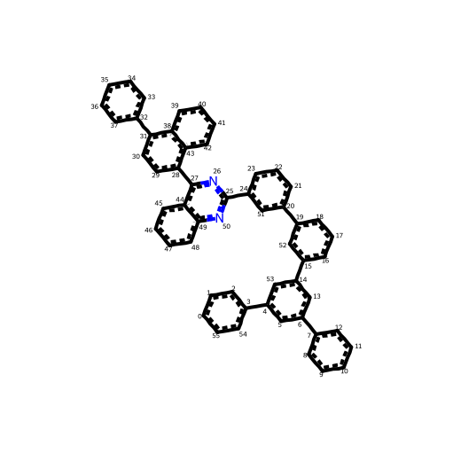 c1ccc(-c2cc(-c3ccccc3)cc(-c3cccc(-c4cccc(-c5nc(-c6ccc(-c7ccccc7)c7ccccc67)c6ccccc6n5)c4)c3)c2)cc1